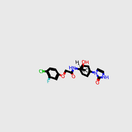 O=C(COc1ccc(Cl)c(F)c1)NC12CCC(n3cc[nH]c3=O)(CC1)C[C@@H]2O